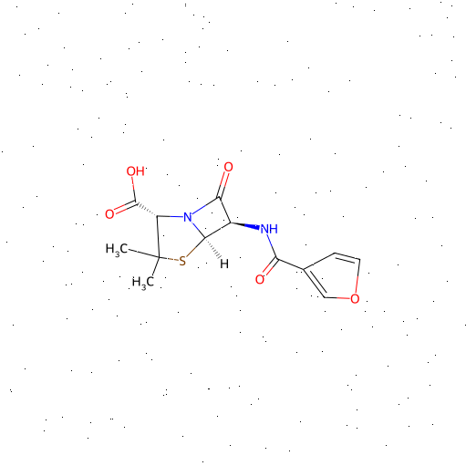 CC1(C)S[C@@H]2[C@H](NC(=O)c3ccoc3)C(=O)N2[C@H]1C(=O)O